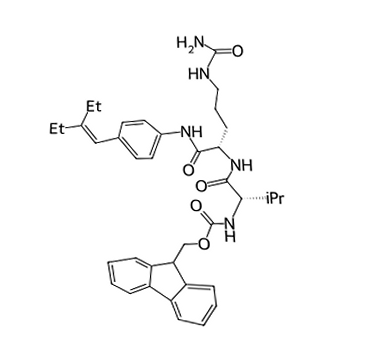 CCC(=Cc1ccc(NC(=O)[C@H](CCCNC(N)=O)NC(=O)[C@@H](NC(=O)OCC2c3ccccc3-c3ccccc32)C(C)C)cc1)CC